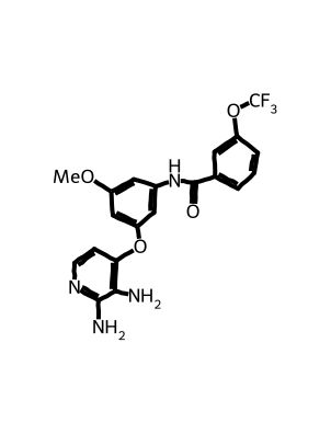 COc1cc(NC(=O)c2cccc(OC(F)(F)F)c2)cc(Oc2ccnc(N)c2N)c1